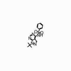 CC(C)(C)n1ncc2c(NS(=O)(=O)c3ccccc3)ncnc21